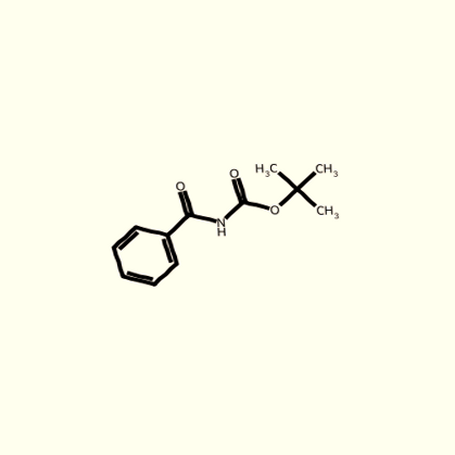 CC(C)(C)OC(=O)NC(=O)c1ccccc1